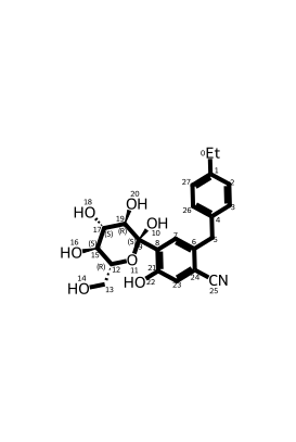 CCc1ccc(Cc2cc([C@]3(O)O[C@H](CO)[C@@H](O)[C@H](O)[C@H]3O)c(O)cc2C#N)cc1